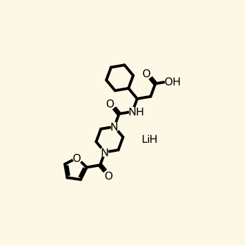 O=C(O)CC(NC(=O)N1CCN(C(=O)c2ccco2)CC1)C1CCCCC1.[LiH]